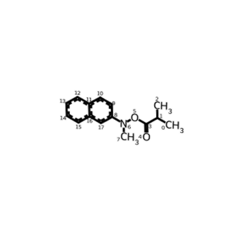 CC(C)C(=O)ON(C)c1ccc2ccccc2c1